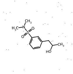 CC(O)Cc1cccc(S(=O)(=O)N(C)C)c1